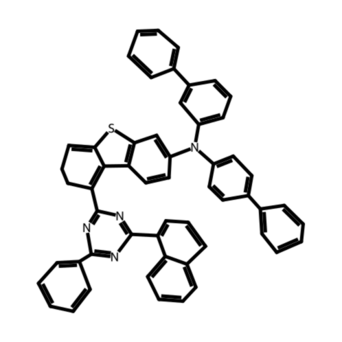 C1=c2sc3cc(N(c4ccc(-c5ccccc5)cc4)c4cccc(-c5ccccc5)c4)ccc3c2=C(c2nc(-c3ccccc3)nc(-c3cccc4ccccc34)n2)CC1